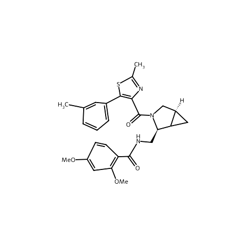 COc1ccc(C(=O)NC[C@@H]2C3C[C@@H]3CN2C(=O)c2nc(C)sc2-c2cccc(C)c2)c(OC)c1